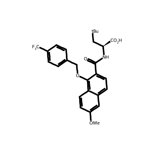 COc1ccc2c(OCc3ccc(C(F)(F)F)cc3)c(C(=O)N[C@@H](CC(C)(C)C)C(=O)O)ccc2c1